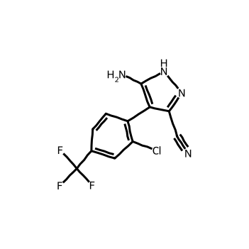 N#Cc1n[nH]c(N)c1-c1ccc(C(F)(F)F)cc1Cl